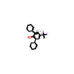 CC(I)(C(=O)O)c1cc(C2CCCCC2)c(O)c(C2CCCCC2)c1